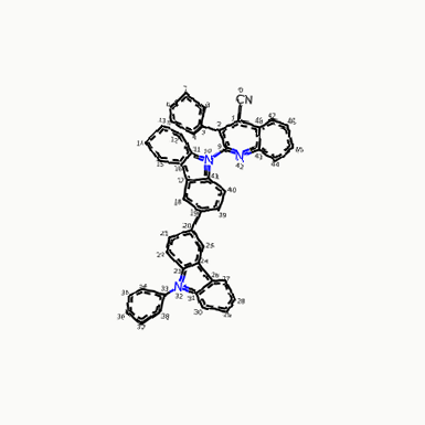 N#Cc1c(-c2ccccc2)c(-n2c3ccccc3c3cc(-c4ccc5c(c4)c4ccccc4n5-c4ccccc4)ccc32)nc2ccccc12